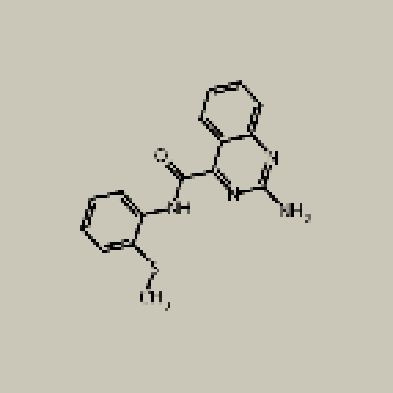 CSc1ccccc1NC(=O)c1nc(N)nc2ccccc12